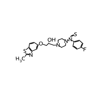 Cc1nc2cc(OC[C@H](O)CN3CCN(N(C=S)c4ccc(F)cc4)CC3)ccc2s1